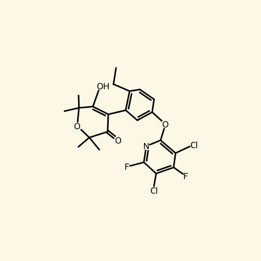 CCc1ccc(Oc2nc(F)c(Cl)c(F)c2Cl)cc1C1=C(O)C(C)(C)OC(C)(C)C1=O